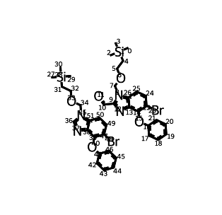 C[Si](C)(C)CCOCn1c(C=O)nc2c(Oc3ccccc3)c(Br)ccc21.C[Si](C)(C)CCOCn1cnc2c(Oc3ccccc3)c(Br)ccc21